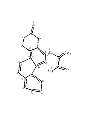 C=C(C)C(=O)O.O=C1CCc2c(ccc3c2ccc2ccccc23)C1